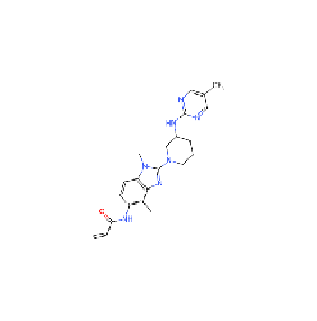 C=CC(=O)Nc1ccc2c(nc(N3CCCC(Nc4ncc(C(F)(F)F)cn4)C3)n2C)c1C